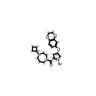 CC(=O)N1C[C@@H](Oc2ccc3c(c2)OCCO3)C[C@@H]1C(=O)N1CCCN(C2CCC2)CC1